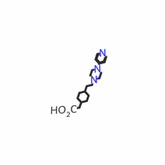 O=C(O)CC1CCC(CCN2CCN(c3ccncc3)CC2)CC1